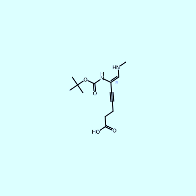 CN/C=C(/C#CCCC(=O)O)NC(=O)OC(C)(C)C